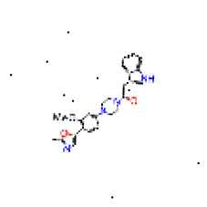 COc1cc(N2CCN(C(=O)Cc3c[nH]c4ccccc34)CC2)ccc1-c1cnc(C)o1